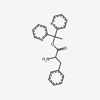 CC(OC(=O)C(N)Cc1ccccc1)(c1ccccn1)c1ccccn1